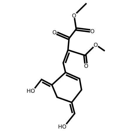 COC(=O)C(=O)C(=CC1=CCC(=CO)CC1=CO)C(=O)OC